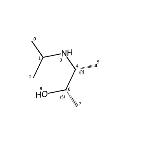 CC(C)N[C@H](C)[C@H](C)O